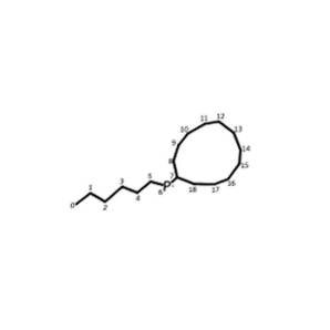 CCCCCC[P]C1CCCCCCCCCCC1